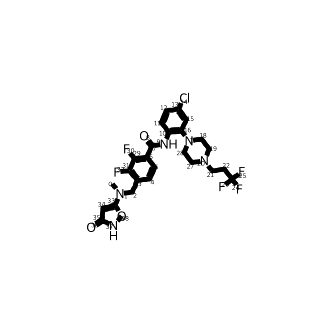 CN(Cc1ccc(C(=O)Nc2ccc(Cl)cc2N2CCN(CCC(F)(F)F)CC2)c(F)c1F)c1cc(=O)[nH]o1